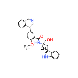 CC(CO)(Cc1c[nH]c2ccccc12)NC(=O)c1cc(-c2cncc3ccccc23)ccc1OC(F)(F)F